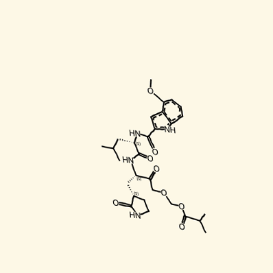 COc1cccc2[nH]c(C(=O)N[C@@H](CC(C)C)C(=O)N[C@@H](C[C@@H]3CCNC3=O)C(=O)COCOC(=O)C(C)C)cc12